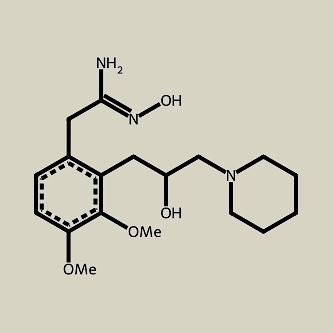 COc1ccc(CC(N)=NO)c(CC(O)CN2CCCCC2)c1OC